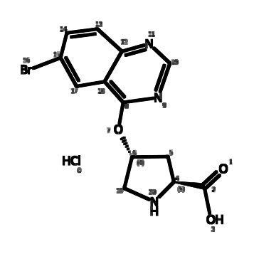 Cl.O=C(O)[C@@H]1C[C@@H](Oc2ncnc3ccc(Br)cc23)CN1